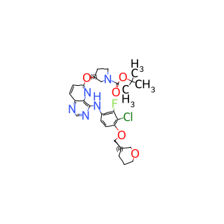 CC(C)(C)OC(=O)N1CC[C@H](Oc2ccc3ncnc(Nc4ccc(OC[C@@H]5CCCOC5)c(Cl)c4F)c3n2)C1